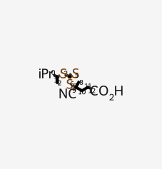 CC(C)C(C)SC(=S)SC(C)(C#N)CCC(=O)O